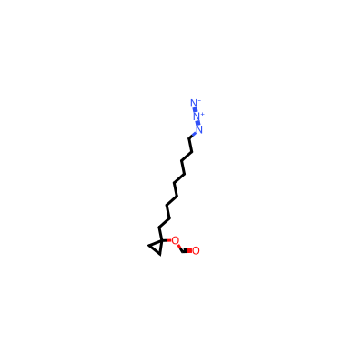 [N-]=[N+]=NCCCCCCCCCC1(OC=O)CC1